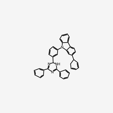 C1=CCC(c2ccc3c4ccccc4n(-c4cccc(C5N=C(c6ccccc6)N=C(c6ccccc6)N5)c4)c3c2)C=C1